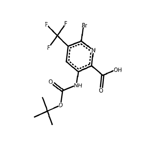 CC(C)(C)OC(=O)Nc1cc(C(F)(F)F)c(Br)nc1C(=O)O